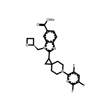 COC(=O)c1ccc2nc(C3CC34CCN(c3nc(F)c(F)cc3F)CC4)n(C[C@@H]3CCO3)c2c1